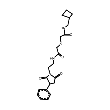 O=C(CSCC(=O)NCC1CCC1)NCCN1C(=O)CC(c2ccccc2)C1=O